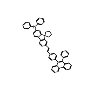 C(=C\c1ccc2c(c1)C1(CCCC1)c1cc(N(c3ccccc3)c3ccccc3)ccc1-2)/c1ccc(-c2c(-c3ccccc3)c3ccccc3c3ccccc23)cc1